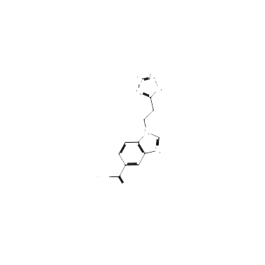 O=C(O)c1ccc2c(c1)ncn2CCc1nnn[nH]1